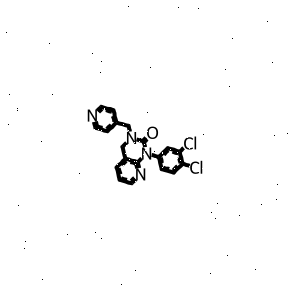 O=C1N(Cc2ccncc2)Cc2cccnc2N1c1ccc(Cl)c(Cl)c1